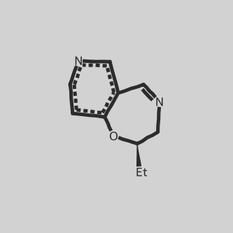 CC[C@@H]1CN=Cc2cnccc2O1